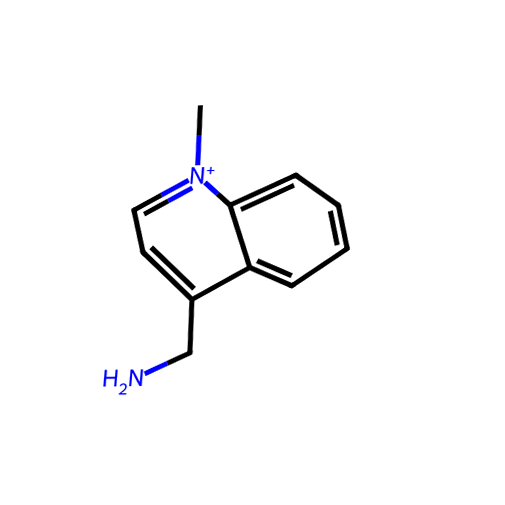 C[n+]1ccc(CN)c2ccccc21